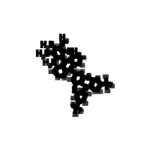 Bc1c(B)c(B)c(-c2c3ccccc3c(-c3cc4c5c(c3)Sc3cc(C(C)(C)C)ccc3B5c3ccc(C(C)(C)C)cc3S4)c3ccccc23)c(B)c1B